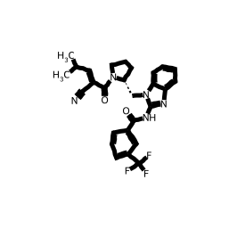 CC(C)/C=C(\C#N)C(=O)N1CCC[C@@H]1Cn1c(NC(=O)c2cccc(C(F)(F)F)c2)nc2ccccc21